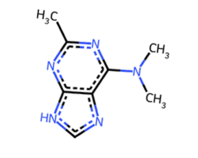 Cc1nc(N(C)C)c2nc[nH]c2n1